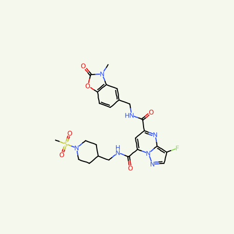 Cn1c(=O)oc2ccc(CNC(=O)c3cc(C(=O)NCC4CCN(S(C)(=O)=O)CC4)n4ncc(F)c4n3)cc21